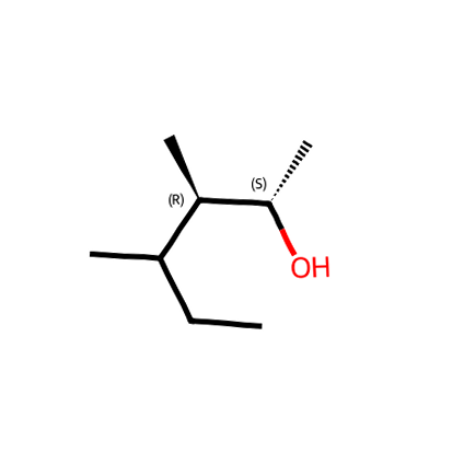 CCC(C)[C@@H](C)[C@H](C)O